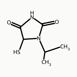 CC(C)N1C(=O)NC(=O)C1S